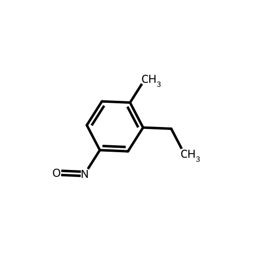 CCc1cc(N=O)ccc1C